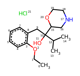 CCOc1ccccc1CC(O)(C(C)C)C1CNCCO1.Cl